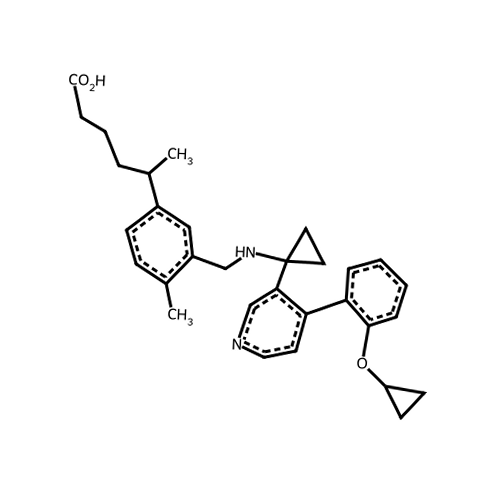 Cc1ccc(C(C)CCCC(=O)O)cc1CNC1(c2cnccc2-c2ccccc2OC2CC2)CC1